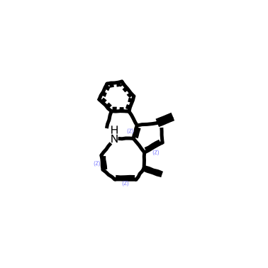 C#C/C(=C1/N/C=C\C=C/C(=C)/C1=C/C)c1ccccc1C